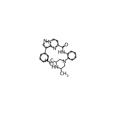 CC1CN(c2ccccc2NC(=O)c2ccn3ncc(-c4cccc(Cl)c4)c3n2)CC(C)N1